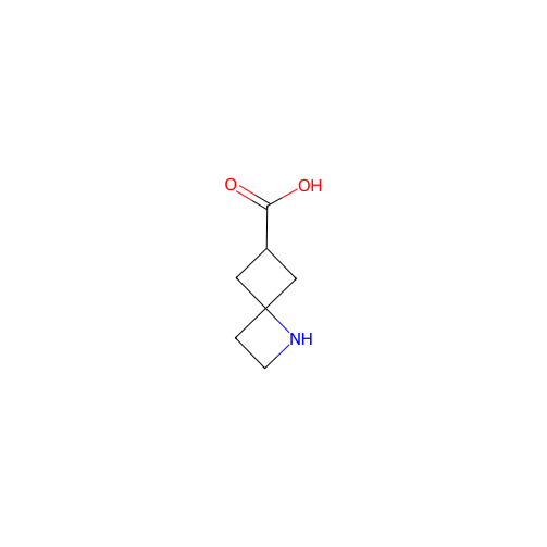 O=C(O)C1CC2(CCN2)C1